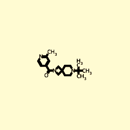 Cc1cc(C(=O)N2CC3(CCN(C(C)(C)C)CC3)C2)ccn1